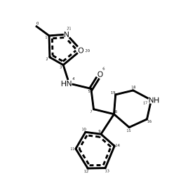 Cc1cc(NC(=O)CC2(c3ccccc3)CCNCC2)on1